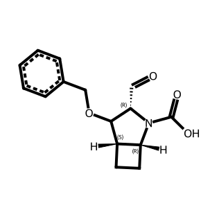 O=C[C@H]1C(OCc2ccccc2)[C@H]2CC[C@H]2N1C(=O)O